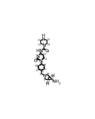 N[C@@H]1[C@H]2CN(Cc3ccc(-n4ccc(NC(=O)N5CCNCC5)nc4=O)cc3)C[C@@H]12